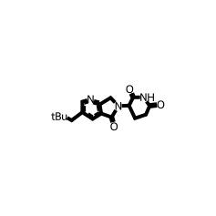 CC(C)(C)Cc1cnc2c(c1)C(=O)N(C1CCC(=O)NC1=O)C2